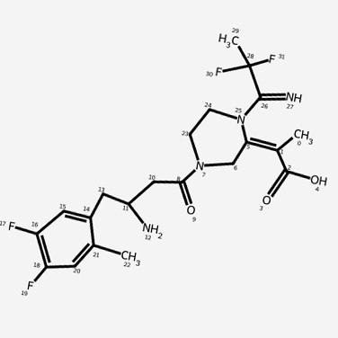 C/C(C(=O)O)=C1/CN(C(=O)CC(N)Cc2cc(F)c(F)cc2C)CCN1C(=N)C(C)(F)F